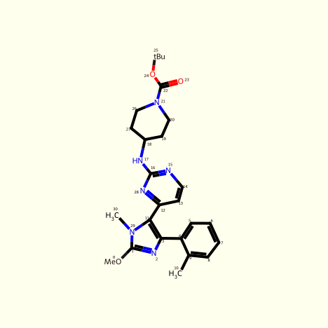 COc1nc(-c2ccccc2C)c(-c2ccnc(NC3CCN(C(=O)OC(C)(C)C)CC3)n2)n1C